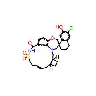 O=C1NS(=O)(=O)CC/C=C/C[C@H]2CC[C@H]2CN2C[C@@]3(CCCc4cc(Cl)c(O)cc43)COc3ccc1cc32